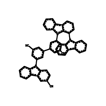 N#Cc1cc(-c2cc(C#N)cc(-n3c4ccccc4c4cccc(-n5c6ccccc6c6ccccc65)c43)c2)cc(-n2c3ccccc3c3cc(C#N)ccc32)c1